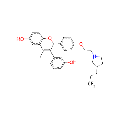 CC1=C(c2cccc(O)c2)C(c2ccc(OCCN3CCC(CCC(F)(F)F)C3)cc2)Oc2ccc(O)cc21